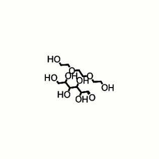 O=CC(O)C(O)C(O)C(O)CO.OCCOCCOCCO